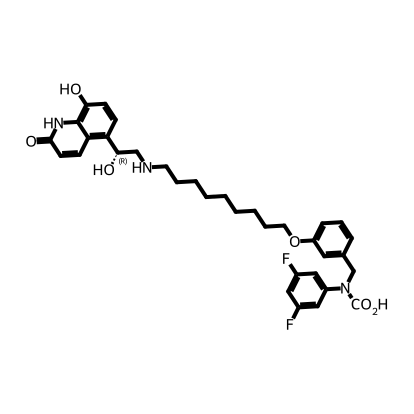 O=C(O)N(Cc1cccc(OCCCCCCCCCNC[C@H](O)c2ccc(O)c3[nH]c(=O)ccc23)c1)c1cc(F)cc(F)c1